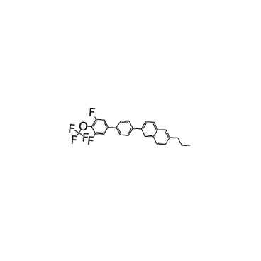 CCCc1ccc2cc(-c3ccc(-c4cc(F)c(OC(F)(F)F)c(F)c4)cc3)ccc2c1